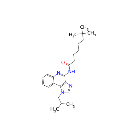 CC(C)Cn1cnc2c(NC(=O)CCCCCC(C)(C)C)nc3ccccc3c21